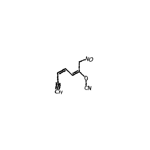 C#C/C=C\C=C(/CN=O)OC#N